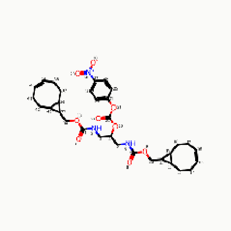 O=C(NCC(CNC(=O)OCC1C2CCC=CCCC21)OC(=O)Oc1ccc([N+](=O)[O-])cc1)OCC1C2CCC=CCCC21